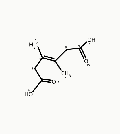 CC(CC(=O)O)=C(C)CC(=O)O